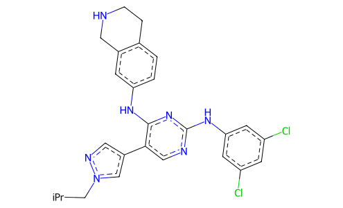 CC(C)Cn1cc(-c2cnc(Nc3cc(Cl)cc(Cl)c3)nc2Nc2ccc3c(c2)CNCC3)cn1